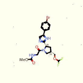 COC(=O)NCC(=O)N1C[C@@H](COC(F)F)C[C@H]1c1ncc(-c2ccc(Br)cc2)[nH]1